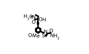 COc1ccc(C#C[C@]2(O)CCN(C)C2=O)cc1-c1nc(C(N)=O)cs1